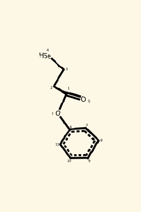 O=C(CC[SeH])Oc1ccccc1